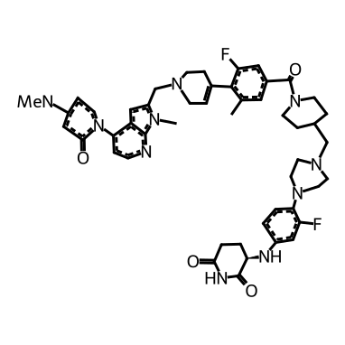 CNc1ccn(-c2ccnc3c2cc(CN2CC=C(c4c(C)cc(C(=O)N5CCC(CN6CCN(c7ccc(N[C@@H]8CCC(=O)NC8=O)cc7F)CC6)CC5)cc4F)CC2)n3C)c(=O)c1